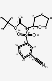 CC(C)(C)OC(=O)N(C1CCCCC1)S(=O)(=O)c1cccc(C#N)c1